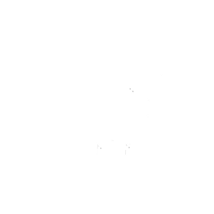 O=C(NC(=O)c1ccccc1)Nc1cccc(-c2ccccn2)c1O